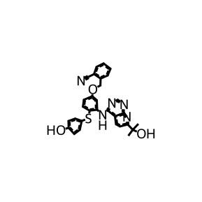 CC(C)(O)c1ccc2c(Nc3cc(OCc4ccccc4C#N)ccc3Sc3ccc(O)cc3)ncnc2n1